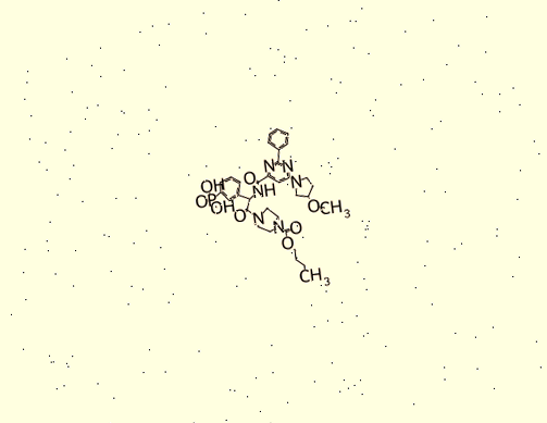 CCCCOC(=O)N1CCN(C(=O)C(NC(=O)c2cc(N3CC[C@H](OC)C3)nc(-c3ccccc3)n2)c2cccc(P(=O)(O)O)c2)CC1